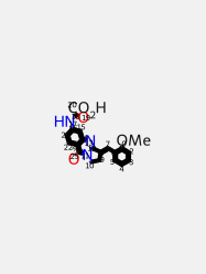 COc1ccccc1C=C1CCn2c1nc1cc(NC(=O)C(=O)O)ccc1c2=O